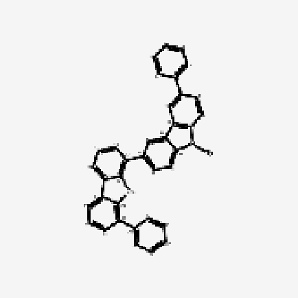 CC(C)n1c2ccc(-c3ccccc3)cc2c2cc(-c3cccc4c3oc3c(-c5ccccc5)cccc34)ccc21